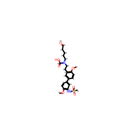 COc1ccc(-c2ccc(OC)c(NS(C)(=O)=O)c2)cc1CCN(CCCCC=O)C(=O)O